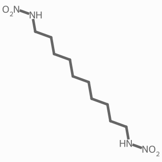 O=[N+]([O-])NCCCCCCCCCCN[N+](=O)[O-]